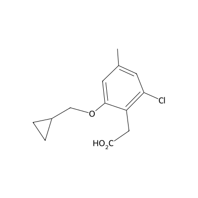 Cc1cc(Cl)c(CC(=O)O)c(OCC2CC2)c1